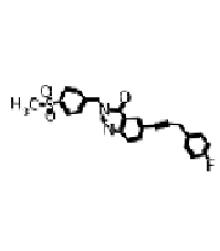 CS(=O)(=O)c1ccc(Cn2cnc3ccc(C#CCc4ccc(F)cc4)cc3c2=O)cc1